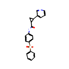 O=C(Nc1ccc(S(=O)(=O)c2ccccc2)cc1)C1CC1c1cccnc1